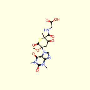 COC1(n2cnc3c2c(=O)n(C)c(=O)n3C)CC(=O)C(C)(C(=O)NCC(=O)O)SC1=O